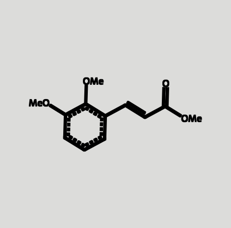 COC(=O)C=Cc1cccc(OC)c1OC